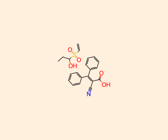 C=CS(=O)(=O)C(O)CC.N#CC(C(=O)O)=C(c1ccccc1)c1ccccc1